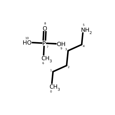 CCCCCN.CP(=O)(O)O